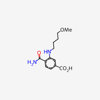 COCCCCNc1cc(C(=O)O)ccc1C(N)=O